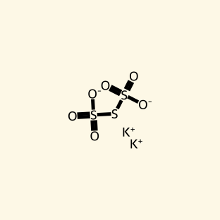 O=S(=O)([O-])SS(=O)(=O)[O-].[K+].[K+]